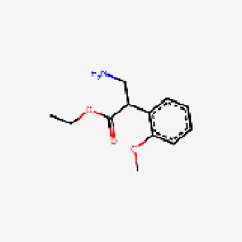 CCOC(=O)C(CN)c1ccccc1OC